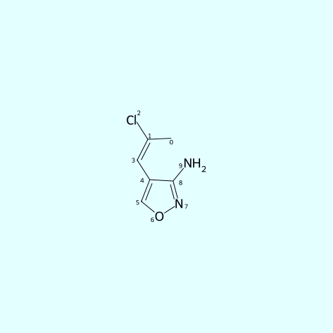 C/C(Cl)=C\c1conc1N